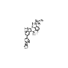 CCCS(=O)(=O)Nc1ccc(F)c(C(=O)c2c[nH]c3ncc(-c4ccc(N5CCCC5)nc4)cc23)c1F